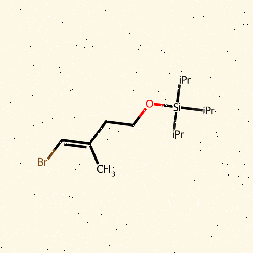 C/C(=C\Br)CCO[Si](C(C)C)(C(C)C)C(C)C